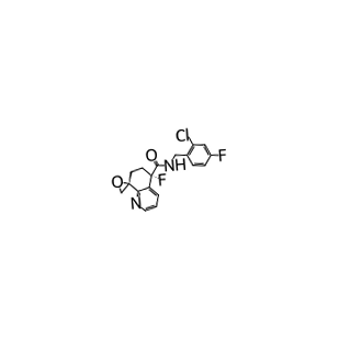 O=C(NCc1ccc(F)cc1Cl)[C@]1(F)CC[C@]2(CO2)c2ncccc21